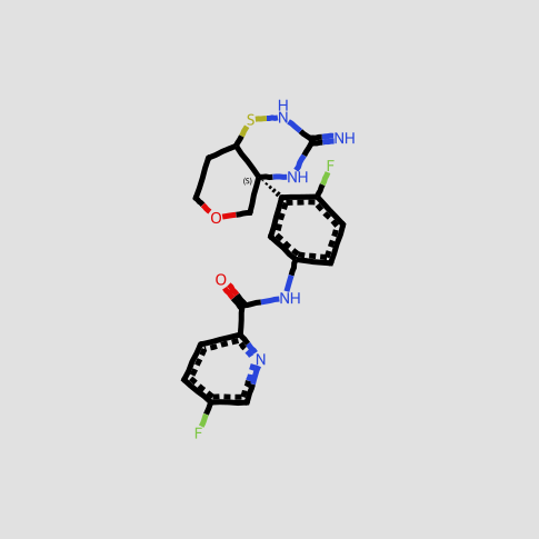 N=C1NSC2CCOC[C@]2(c2cc(NC(=O)c3ccc(F)cn3)ccc2F)N1